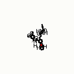 CC#CC(=O)NNC(=O)CCc1ccc(N2C[C@H]3CC[C@@H](C2)N3CC)cc1C(=O)N[C@H](C)c1ccc(OC)c(OC)c1